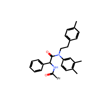 Cc1ccc(CCN(C(=O)C(NC(=O)C(C)C)c2ccccc2)c2ccc(C)c(C)c2)cc1